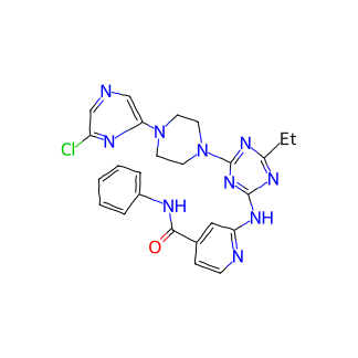 CCc1nc(Nc2cc(C(=O)Nc3ccccc3)ccn2)nc(N2CCN(c3cncc(Cl)n3)CC2)n1